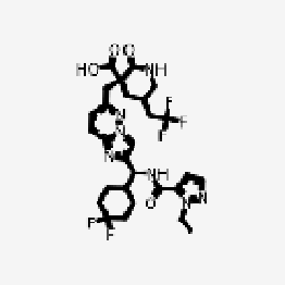 CCn1nccc1C(=O)N[C@H](c1cn2nc(CC3(C(=O)O)CC(CC(F)(F)F)CNC3=O)ccc2n1)C1CCC(F)(F)CC1